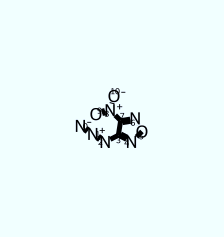 [N-]=[N+]=Nc1nonc1[N+](=O)[O-]